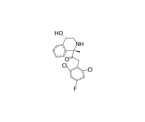 C[C@]1(C(=O)Cc2c(Cl)cc(F)cc2Cl)NC[C@@H](O)c2ccccc21